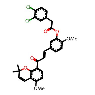 COc1ccc(C=CC(=O)c2ccc(OC)c3c2OC(C)(C)C=C3)cc1OC(=O)Cc1ccc(Cl)c(Cl)c1